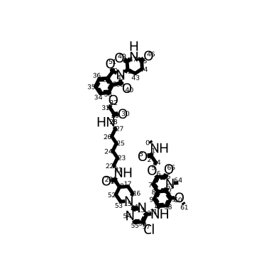 CNC(=O)COc1cc2cc(Nc3nc(N4CCC(C(=O)NCCCCCCNC(=O)COc5cccc6c5C(=O)N(C5CCC(=O)NC5=O)C6=O)CC4)ncc3Cl)cc(OC)c2n(C)c1=O